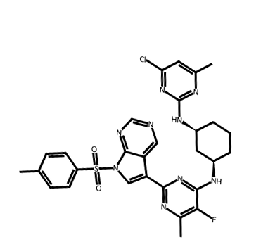 Cc1ccc(S(=O)(=O)n2cc(-c3nc(C)c(F)c(N[C@@H]4CCC[C@H](Nc5nc(C)cc(Cl)n5)C4)n3)c3cncnc32)cc1